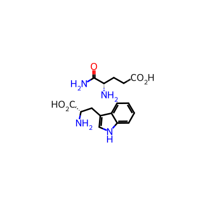 NC(=O)[C@@H](N)CCC(=O)O.N[C@@H](Cc1c[nH]c2ccccc12)C(=O)O